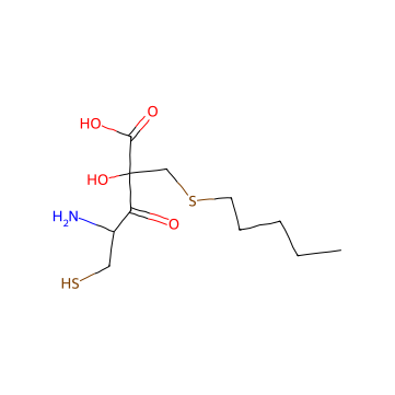 CCCCCSCC(O)(C(=O)O)C(=O)C(N)CS